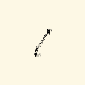 [N-]=[N+]=NCCOCCOCCOCCOCCOCCOCc1cn[nH]c1